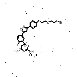 CCOCCOCCOc1cnc(-c2cc(-c3ccc(F)c([C@]4(C)C[C@@H](C(F)(F)F)N=C(NC(=O)O)O4)c3)on2)cn1